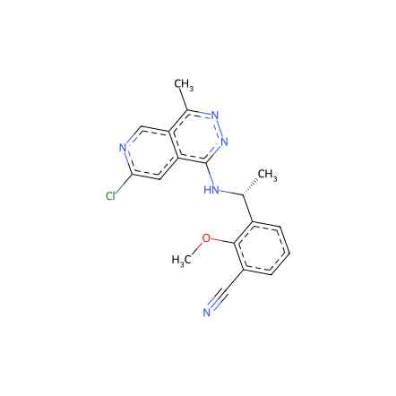 COc1c(C#N)cccc1[C@@H](C)Nc1nnc(C)c2cnc(Cl)cc12